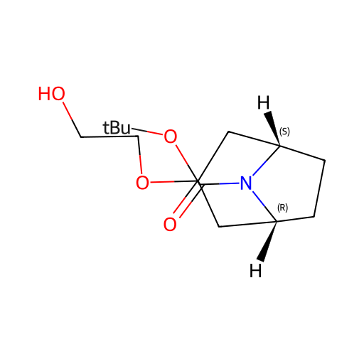 CC(C)(C)OC(=O)N1[C@@H]2CC[C@H]1CC(OCCO)C2